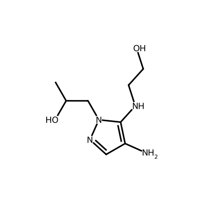 CC(O)Cn1ncc(N)c1NCCO